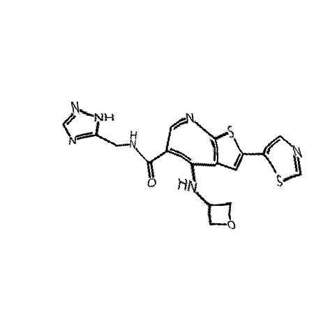 O=C(NCc1ncn[nH]1)c1cnc2sc(-c3cncs3)cc2c1NC1COC1